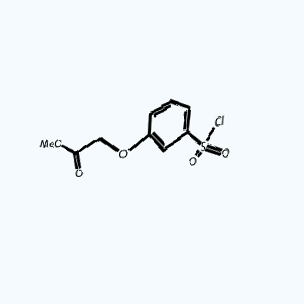 COC(=O)COc1cccc(S(=O)(=O)Cl)c1